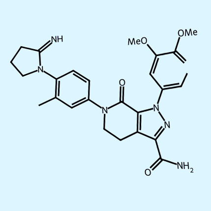 C=C(OC)/C(=C\C(=C/C)n1nc(C(N)=O)c2c1C(=O)N(c1ccc(N3CCCC3=N)c(C)c1)CC2)OC